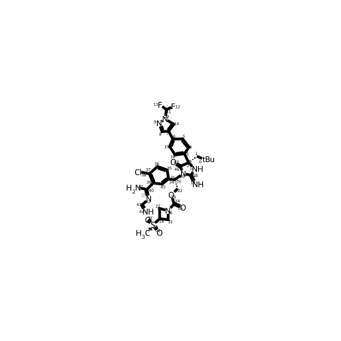 CC(C)(C)C[C@]1(c2ccc(-c3cnn(C(F)F)c3)cc2)NC(=N)N([C@H](COC(=O)N2CC(S(C)(=O)=O)C2)c2ccc(Cl)c(/C(N)=N/C=N)c2)C1=O